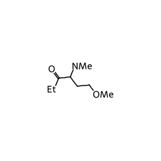 CCC(=O)C(CCOC)NC